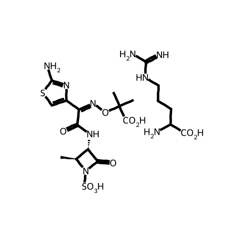 C[C@H]1[C@H](NC(=O)/C(=N\OC(C)(C)C(=O)O)c2csc(N)n2)C(=O)N1S(=O)(=O)O.N=C(N)NCCCC(N)C(=O)O